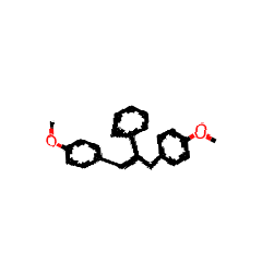 COc1ccc(CC(Cc2ccc(OC)cc2)c2ccccc2)cc1